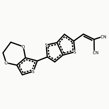 N#CC(C#N)=Cc1cc2sc(-c3scc4c3OCCO4)cc2s1